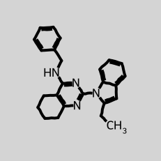 CCc1cc2ccccc2n1-c1nc2c(c(NCc3ccccc3)n1)CCCC2